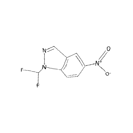 O=[N+]([O-])c1ccc2c(cnn2C(F)F)c1